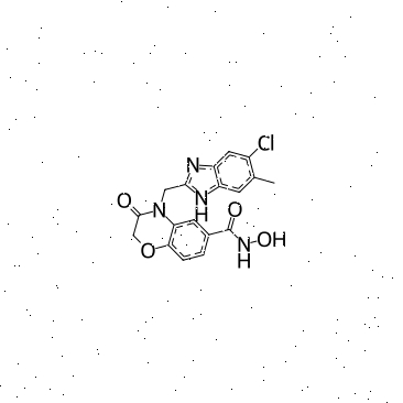 Cc1cc2[nH]c(CN3C(=O)COc4ccc(C(=O)NO)cc43)nc2cc1Cl